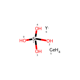 O[Si](O)(O)O.[GeH4].[Y]